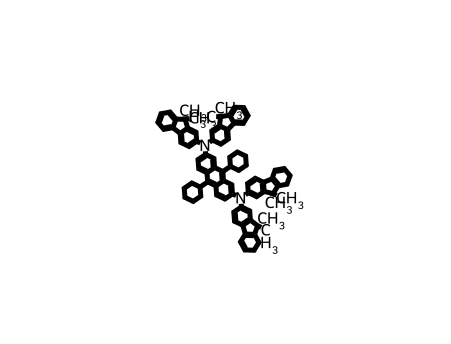 CC1(C)C2=CC(N(c3ccc4c(c3)C(C)(C)c3ccccc3-4)c3ccc4c(C5CCCCC5)c5ccc(N(c6ccc7c(c6)C(C)(C)C6=C7C=CCC6)c6ccc7c(c6)C(C)(C)C6=C7C=CCC6)cc5c(C5CCCCC5)c4c3)CC=C2c2ccccc21